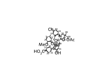 COc1cccc([C@H]2O[C@H](Cc3cc(O)n(-c4ccc(C(=O)O)cc4)n3)C(=O)N(CC(C)(C)COC(C)=O)c3ccc(Cl)cc32)c1OC